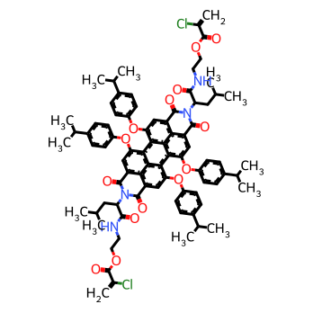 C=C(Cl)C(=O)OCCNC(=O)C(CC(C)C)N1C(=O)c2cc(Oc3ccc(C(C)C)cc3)c3c4c(Oc5ccc(C(C)C)cc5)cc5c6c(cc(Oc7ccc(C(C)C)cc7)c(c7c(Oc8ccc(C(C)C)cc8)cc(c2c37)C1=O)c64)C(=O)N(C(CC(C)C)C(=O)NCCOC(=O)C(=C)Cl)C5=O